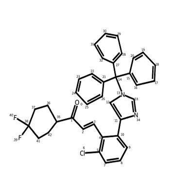 O=C(/C=C/c1c(Cl)cccc1-c1cn(C(c2ccccc2)(c2ccccc2)c2ccccc2)cn1)C1CCC(F)(F)CC1